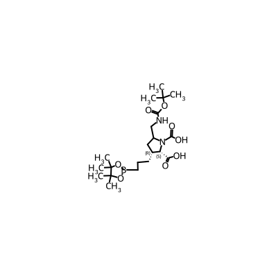 CC(C)(C)OC(=O)NCC1C[C@@H](CCCB2OC(C)(C)C(C)(C)O2)[C@@H](C(=O)O)N1C(=O)O